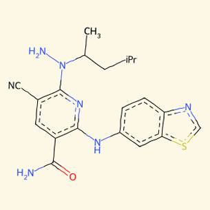 CC(C)CC(C)N(N)c1nc(Nc2ccc3ncsc3c2)c(C(N)=O)cc1C#N